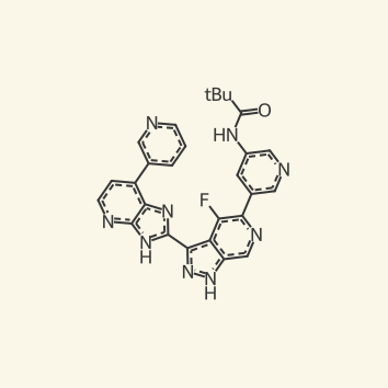 CC(C)(C)C(=O)Nc1cncc(-c2ncc3[nH]nc(-c4nc5c(-c6cccnc6)ccnc5[nH]4)c3c2F)c1